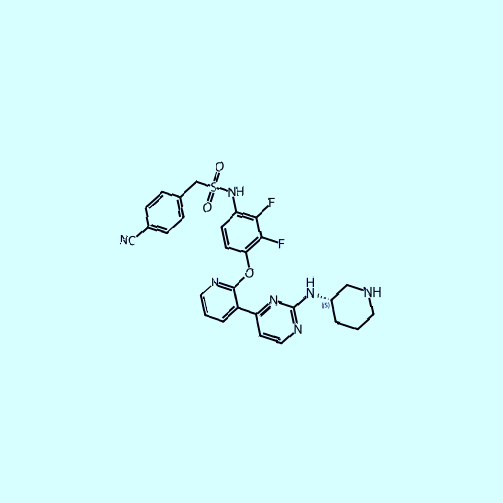 N#Cc1ccc(CS(=O)(=O)Nc2ccc(Oc3ncccc3-c3ccnc(N[C@H]4CCCNC4)n3)c(F)c2F)cc1